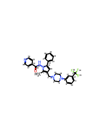 Cc1c(CN2CCN(c3cccc(C(F)(F)F)c3)CC2)cc(-c2ccccc2)n1NC(=O)c1ccncc1